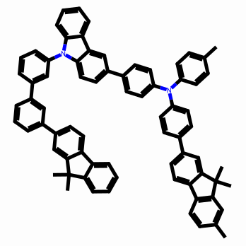 Cc1ccc(N(c2ccc(-c3ccc4c(c3)C(C)(C)c3cc(C)ccc3-4)cc2)c2ccc(-c3ccc4c(c3)c3ccccc3n4-c3cccc(-c4cccc(-c5ccc6c(c5)C(C)(C)c5ccccc5-6)c4)c3)cc2)cc1